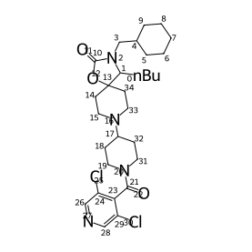 CCCCC1N(CC2CCCCC2)C(=O)OC12CCN(C1CCN(C(=O)c3c(Cl)cncc3Cl)CC1)CC2